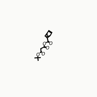 CC(C)(C)OC(=O)CC(=O)OC(=O)C1CC2C=CC1C2